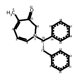 CC1=CC=CN([C@@H](Cc2ccccc2)c2ccccc2)CC1=O